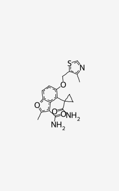 Cc1ncsc1COc1ccc2oc(C)c(C(N)=O)c2c1C1(C(N)=O)CC1